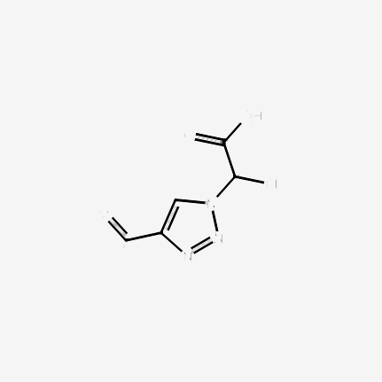 CC(C(=O)O)n1cc(C=O)nn1